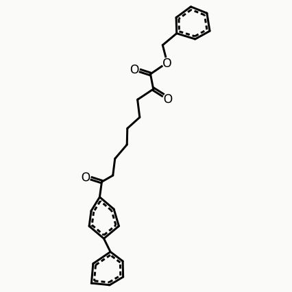 O=C(CCCCCCC(=O)c1ccc(-c2ccccc2)cc1)C(=O)OCc1ccccc1